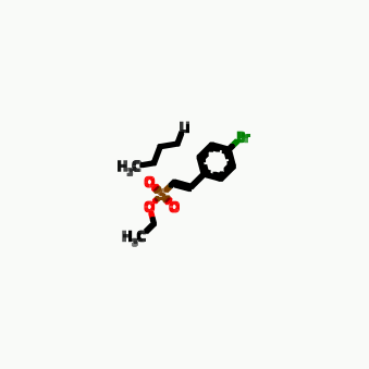 CCOS(=O)(=O)C=Cc1ccc(Br)cc1.[Li][CH2]CCC